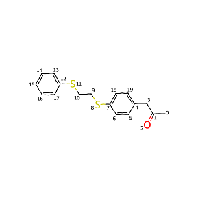 CC(=O)Cc1ccc(SCCSc2ccccc2)cc1